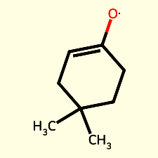 CC1(C)CC=C([O])CC1